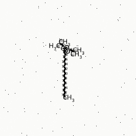 CCCCCCCCCCCCCCCCCCCCP(=O)(OCC(C)C)OCC(C)C